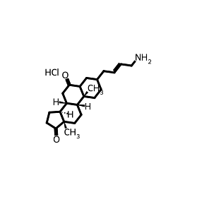 C[C@]12CCC(CC=CCN)CC1C(=O)C[C@@H]1[C@H]2CC[C@]2(C)C(=O)CC[C@@H]12.Cl